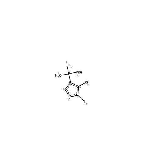 CCCCC(C)(C)c1csc(I)c1Br